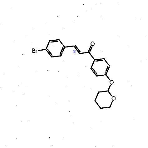 O=C(/C=C/c1ccc(Br)cc1)c1ccc(OC2CCCCO2)cc1